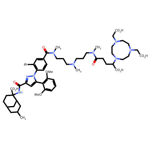 COc1cccc(OC)c1-c1cc(C(=O)NC2(C(=O)O)CCC3CC(C)CC2C3)nn1-c1ccc(C(=O)N(C)CCCN(C)CCCN(C)C(=O)CCC(C(=O)O)N2CCN(CC(=O)O)CCN(CC(=O)O)CC2)cc1C(C)C